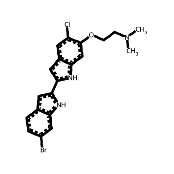 CN(C)CCOc1cc2[nH]c(-c3cc4ccc(Br)cc4[nH]3)cc2cc1Cl